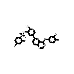 Cc1ncc(-c2ccc3ncnc(Nc4ccc(F)c(Cl)c4)c3n2)cc1NS(=O)(=O)c1ccc(F)cc1F